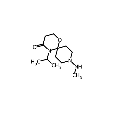 CNN1CCC2(CC1)OCCC(=O)N2C(C)C